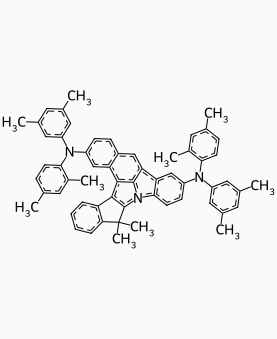 Cc1cc(C)cc(N(c2ccc3cc4c5cc(N(c6cc(C)cc(C)c6)c6ccc(C)cc6C)ccc5n5c6c(c(c3c2)c45)-c2ccccc2C6(C)C)c2ccc(C)cc2C)c1